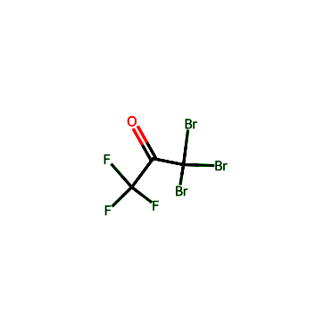 O=C(C(F)(F)F)C(Br)(Br)Br